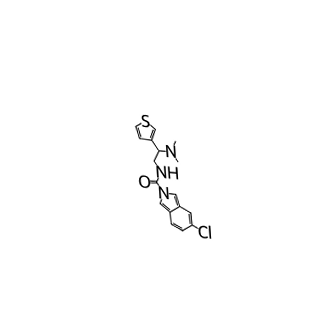 CN(C)C(CNC(=O)n1cc2ccc(Cl)cc2c1)c1ccsc1